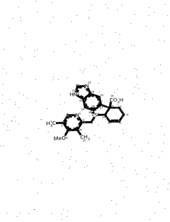 COc1c(C)cnc(C[S+]([O-])C2C=CCCC2(C(=O)O)c2ccc3[nH]cnc3c2)c1C